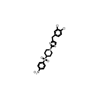 O=[N+]([O-])c1ccc(S(=O)(=O)C2CCN(c3nc(Cc4ccc(Cl)c(Cl)c4)cs3)CC2)cc1